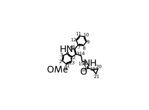 COc1ccc2[nH]c(-c3ccccc3)c(CCNC(=O)C3CC3)c2c1